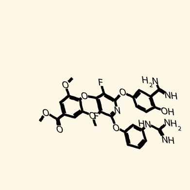 COC(=O)c1cc(OC)c(Oc2c(F)c(Oc3cccc(NC(=N)N)c3)nc(Oc3ccc(O)c(C(=N)N)c3)c2F)c(OC)c1